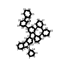 c1ccc(-n2c3ccccc3c3cc(-c4cc(-c5cccc6c5sc5ccccc56)cc5c4-c4ccccc4-c4ccccc4-c4ccccc4-5)ccc32)cc1